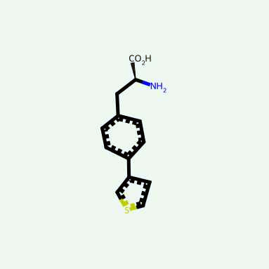 N[C@@H](Cc1ccc(-c2ccsc2)cc1)C(=O)O